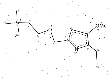 COc1cn(COCC[Si](C)(C)C)nc1CI